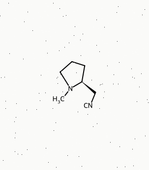 [C-]#[N+]C[C@@H]1CCCN1C